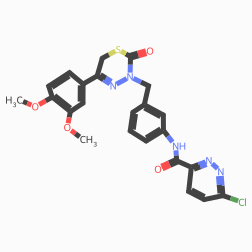 COc1ccc(C2=NN(Cc3cccc(NC(=O)c4ccc(Cl)nn4)c3)C(=O)SC2)cc1OC